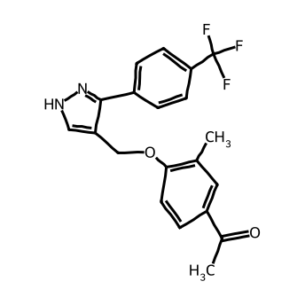 CC(=O)c1ccc(OCc2c[nH]nc2-c2ccc(C(F)(F)F)cc2)c(C)c1